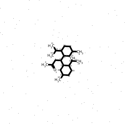 CC(=O)C[C](C1CC(C)CCC1C(C)C)C1CC(C)CCC1C(C)C